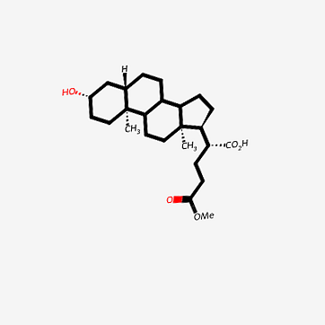 COC(=O)CC[C@@H](C(=O)O)[C@@H]1CCC2C3CC[C@H]4C[C@@H](O)CC[C@]4(C)C3CC[C@@]21C